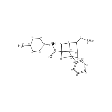 CSCC1C2CC3(C(=O)NC4CCC(N)CC4)CC4(c5ccccc5)CC1C234